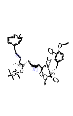 COC(=O)[C@@H](Cc1ccc(OC)c(Cl)c1)NC(=O)/C=C/C[C@H](O[Si](C)(C)C(C)(C)C)[C@H](C)/C=C/c1ccncc1